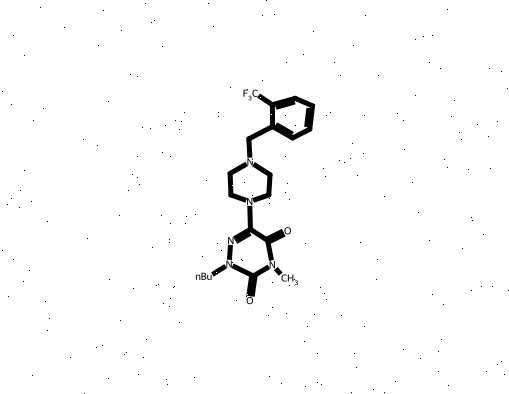 CCCCn1nc(N2CCN(Cc3ccccc3C(F)(F)F)CC2)c(=O)n(C)c1=O